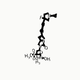 C[C@@](CCN1Cc2cc(C#CC#CC3(F)CCN(C4CC4)C3)cn2C1=O)(C(=O)NO)S(C)(=O)=O